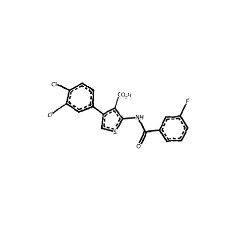 O=C(Nc1scc(-c2ccc(Cl)c(Cl)c2)c1C(=O)O)c1cccc(F)c1